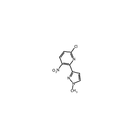 Cn1ccc(-c2nc(Cl)ccc2[N+](=O)[O-])n1